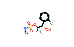 CC(C)NS(=O)(=O)O[C@@H](C)[C@@H](O)c1ccccc1Cl